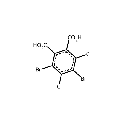 O=C(O)c1c(Cl)c(Br)c(Cl)c(Br)c1C(=O)O